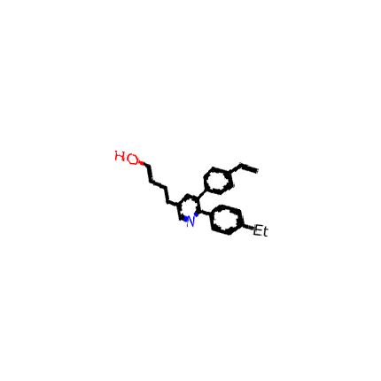 C=Cc1ccc(-c2cc(CCCCO)cnc2-c2ccc(CC)cc2)cc1